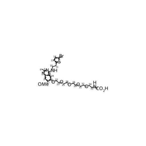 COc1cc2nc(C)nc(NCCc3ccc(Br)s3)c2cc1OCCOCCOCCOCCOCCNC(=O)O